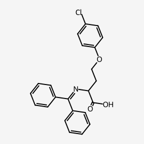 O=C(O)C(CCOc1ccc(Cl)cc1)N=C(c1ccccc1)c1ccccc1